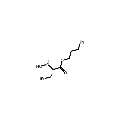 CC(C)CCCOC(=O)[C@H](CC(C)C)NO